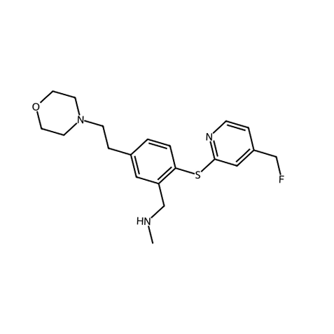 CNCc1cc(CCN2CCOCC2)ccc1Sc1cc(CF)ccn1